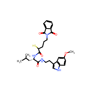 COc1ccc2[nH]cc(CCNC(=O)[C@H](CC(C)C)NC(=O)C(S)CCCN3C(=O)c4ccccc4C3=O)c2c1